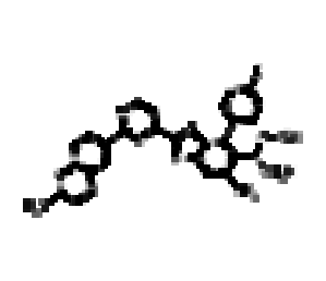 Cc1cc2nc(-c3ccnc(-c4ccc5nc(N)ccc5c4)n3)sc2c(-c2ccc(Cl)cc2)c1[C@H](OC(C)(C)C)C(=O)O